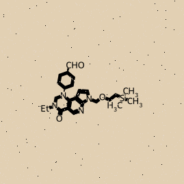 CCN1CN([C@H]2CC[C@H](C=O)CC2)c2c(cnc3c2ccn3COCC[Si](C)(C)C)C1=O